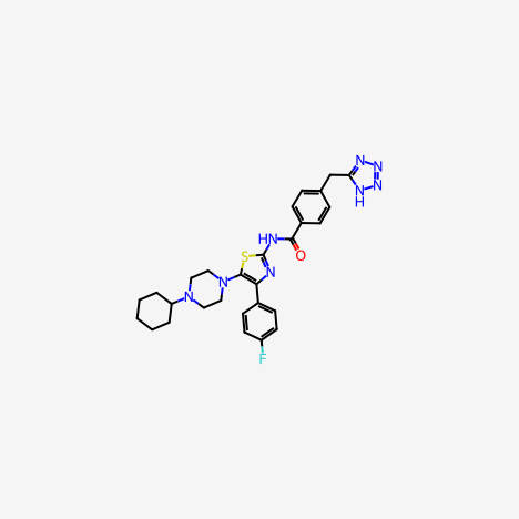 O=C(Nc1nc(-c2ccc(F)cc2)c(N2CCN(C3CCCCC3)CC2)s1)c1ccc(Cc2nnn[nH]2)cc1